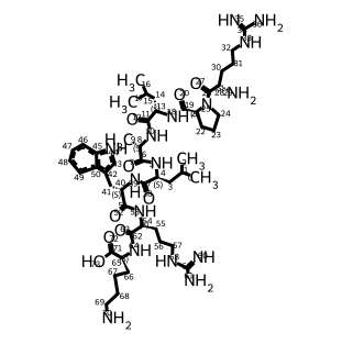 CC(C)C[C@H](NC(=O)[C@H](C)NC(=O)[C@H](CC(C)C)NC(=O)[C@@H]1CCCN1C(=O)[C@@H](N)CCCNC(=N)N)C(=O)N[C@@H](Cc1c[nH]c2ccccc12)C(=O)N[C@@H](CCCNC(=N)N)C(=O)N[C@@H](CCCCN)C(=O)O